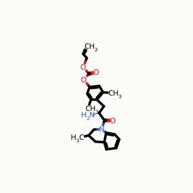 C=CCOC(=O)Oc1cc(C)c(C[C@@H](N)C(=O)N2CC(C)Cc3ccccc32)c(C)c1